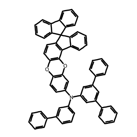 c1ccc(-c2cccc(N(c3cc(-c4ccccc4)cc(-c4ccccc4)c3)c3ccc4c(c3)Oc3c(ccc5c3-c3ccccc3C53c5ccccc5-c5ccccc53)O4)c2)cc1